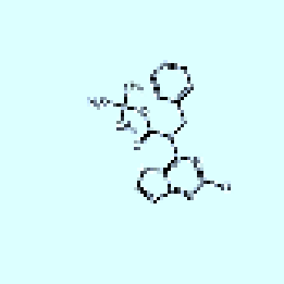 CC(C)(C)OC(=O)N(Cc1ccccc1)c1nc(Cl)nc2ccoc12